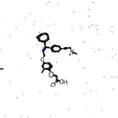 Cc1cc(OC/C=C(/c2ccccc2)c2ccc(C#CCN(C)C)cc2)ccc1OCC(=O)O